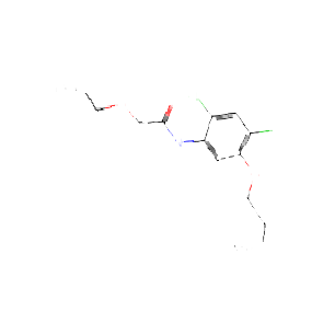 COCCOc1cc(NC(=O)COCC(=O)O)c(Cl)cc1Cl